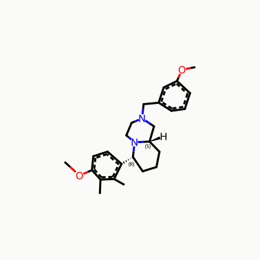 COc1cccc(CN2CCN3[C@@H](CCC[C@@H]3c3ccc(OC)c(C)c3C)C2)c1